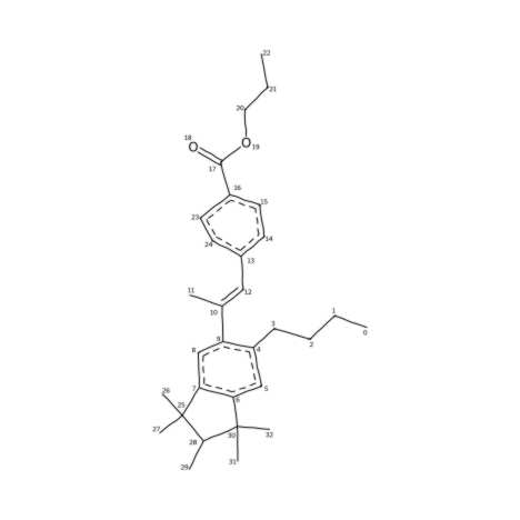 CCCCc1cc2c(cc1C(C)=Cc1ccc(C(=O)OCCC)cc1)C(C)(C)C(C)C2(C)C